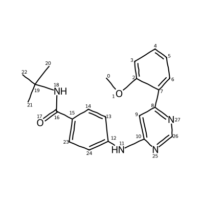 COc1ccccc1-c1cc(Nc2ccc(C(=O)NC(C)(C)C)cc2)ncn1